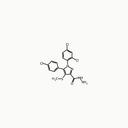 CSc1c(C(=O)NN)nn(-c2ccc(Cl)cc2Cl)c1-c1ccc(Cl)cc1